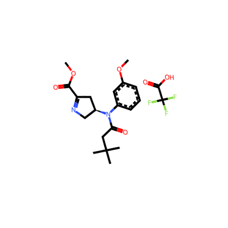 COC(=O)C1=NC[C@H](N(C(=O)CC(C)(C)C)c2cccc(OC)c2)C1.O=C(O)C(F)(F)F